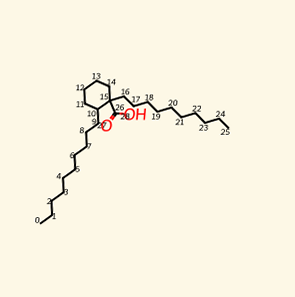 CCCCCCCCCCC1CCCCC1(CCCCCCCCCC)C(=O)O